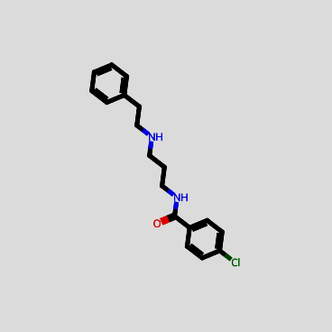 O=C(NCCCNCCc1ccccc1)c1ccc(Cl)cc1